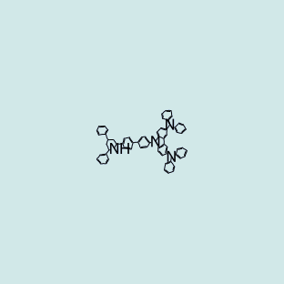 c1ccc(C2CC(c3ccccc3)NC(c3ccc(-c4ccc(-n5c6ccc(N(c7ccccc7)c7ccccc7)cc6c6cc(N(c7ccccc7)c7ccccc7)ccc65)cc4)cc3)C2)cc1